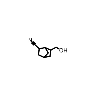 N#CC1CC2CC(CO)C1C2